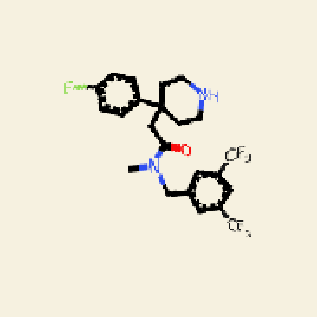 CN(Cc1cc(C(F)(F)F)cc(C(F)(F)F)c1)C(=O)CC1(c2ccc(F)cc2)CCNCC1